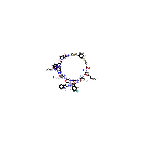 CNCCCC[C@@H]1NC(=O)CCSCc2cccc(c2)CSCCNC(=O)[C@]2(C)CCCN2C(=O)[C@H](Cc2ccc(OC)cc2)NC(=O)[C@H](Cc2ncc[nH]2)NC(=O)[C@H](CC(=O)O)NC(=O)[C@H](CCc2c[nH]c3ccc(F)cc23)NC(=O)[C@H](Cc2c[nH]c3ccc(F)cc23)NC(=O)[C@@H](C)NC1=O